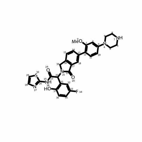 COc1cc(N2CCNCC2)ccc1-c1ccc2c(c1)C(=O)N(C(C(=O)Nc1nccs1)c1cc(F)ccc1O)C2